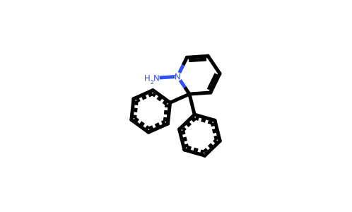 NN1C=CC=CC1(c1ccccc1)c1ccccc1